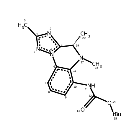 Cc1nc2n(n1)-c1cccc(NC(=O)OC(C)(C)C)c1N(C)[C@H]2C